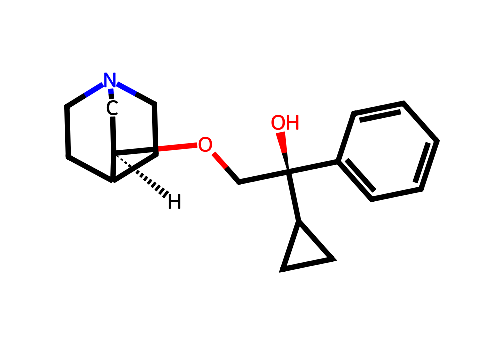 O[C@@](CO[C@@H]1CN2CCC1CC2)(c1ccccc1)C1CC1